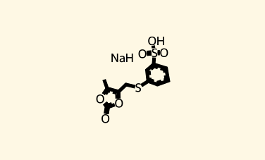 Cc1oc(=O)oc1CSc1cccc(S(=O)(=O)O)c1.[NaH]